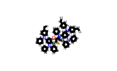 CCc1ccc(N(c2ccccc2)c2cc3c4c(c2)N(c2ccccc2)c2ccccc2B4c2sc4c(c2O3)N(c2ccccc2)c2cc(N(c3ccc(CC)cc3)c3ccc(CC)cc3)cc3c2B4c2ccccc2N3c2ccccc2)cc1